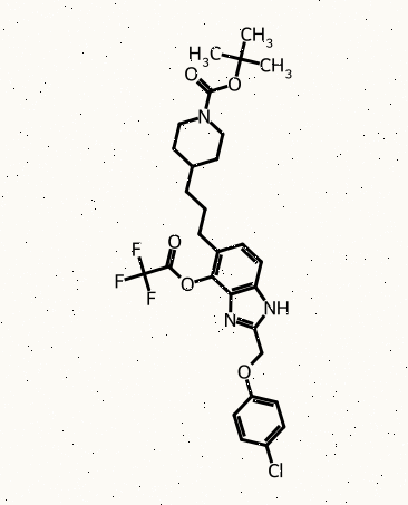 CC(C)(C)OC(=O)N1CCC(CCCc2ccc3[nH]c(COc4ccc(Cl)cc4)nc3c2OC(=O)C(F)(F)F)CC1